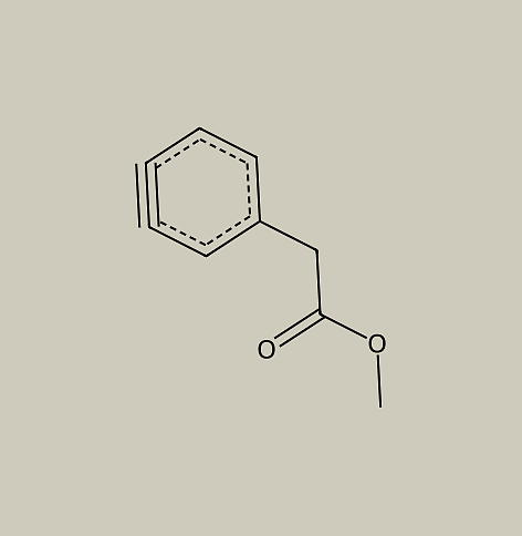 COC(=O)Cc1cc#ccc1